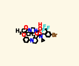 CC(C)(Oc1cccc(N2CCCC(C(=O)N(Cc3ccc(Br)cc3C(F)(F)F)C3CC3)C2)c1)C(=O)N1CCN(C(=O)O)CC1